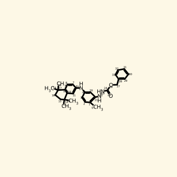 Cc1ccc(Nc2ccc3c(c2)C(C)(C)CCC3(C)C)cc1NNC(=O)OCc1ccccc1